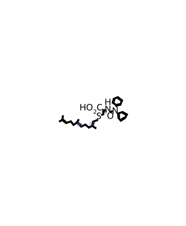 CC(C)=CCC/C(C)=C/CC/C(C)=C/CSC[C@H](NC(=O)N(c1ccccc1)c1ccccc1)C(=O)O